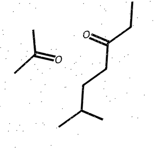 CC(C)=O.CCC(=O)CCC(C)C